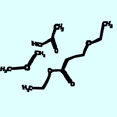 CC(=O)O.CCOCCC(=O)OCC.COC